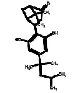 CC(C)CC(C)(C)c1cc(O)c(C2CC(=O)C3CC2C3(C)C)c(O)c1